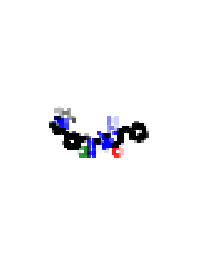 Cn1ccc(-c2ccc(Cl)c(CNc3nc4[nH]c(Cc5ccccc5)cc(=O)n4n3)c2)n1